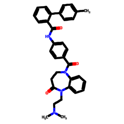 Cc1ccc(-c2ccccc2C(=O)Nc2ccc(C(=O)N3CCC(=O)N(CCN(C)C)c4ccccc43)cc2)cc1